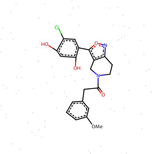 COc1cccc(CC(=O)N2CCc3noc(-c4cc(Cl)c(O)cc4O)c3C2)c1